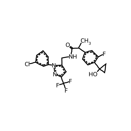 CC(C(=O)NCc1cc(C(F)(F)F)nn1-c1cccc(Cl)c1)c1ccc(C2(O)CC2)c(F)c1